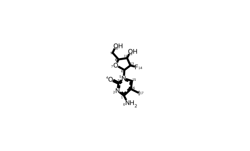 Nc1nc(=O)n(C2OC(CO)C(O)C2F)cc1I